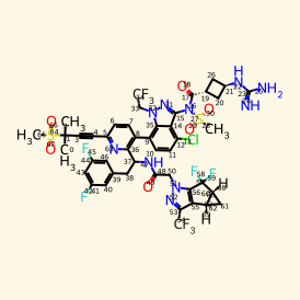 CC(C)(C#Cc1ccc(-c2ccc(Cl)c3c(N(C(=O)[C@H]4C[C@H](NC(=N)N)C4)S(C)(=O)=O)nn(CC(F)(F)F)c23)c(C(Cc2cc(F)cc(F)c2)NC(=O)Cn2nc(C(F)(F)F)c3c2C(F)(F)[C@@H]2C[C@H]32)n1)S(C)(=O)=O